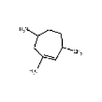 CC1=CC(C)CCC(N)C1